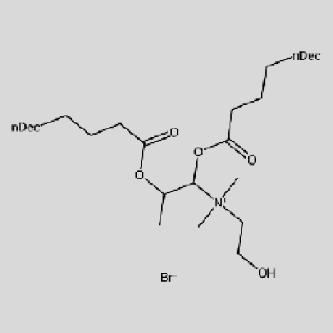 CCCCCCCCCCCCCC(=O)OC(C)C(OC(=O)CCCCCCCCCCCCC)[N+](C)(C)CCO.[Br-]